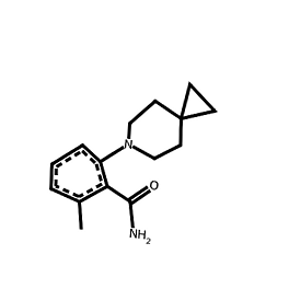 Cc1cccc(N2CCC3(CC2)CC3)c1C(N)=O